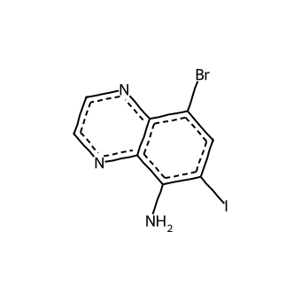 Nc1c(I)cc(Br)c2nccnc12